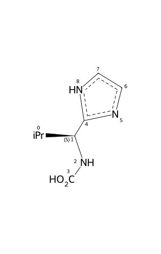 CC(C)[C@H](NC(=O)O)c1ncc[nH]1